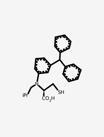 CC(C)CN(c1cccc(C(c2ccccc2)c2ccccc2)c1)[C@@H](CS)C(=O)O